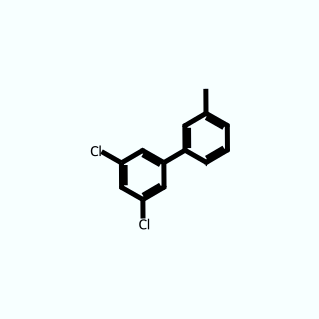 Cc1cc[c]c(-c2cc(Cl)cc(Cl)c2)c1